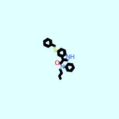 CCCCN(C(=O)c1[c][nH]c2ccc(SCc3ccccc3)cc12)c1ccccc1